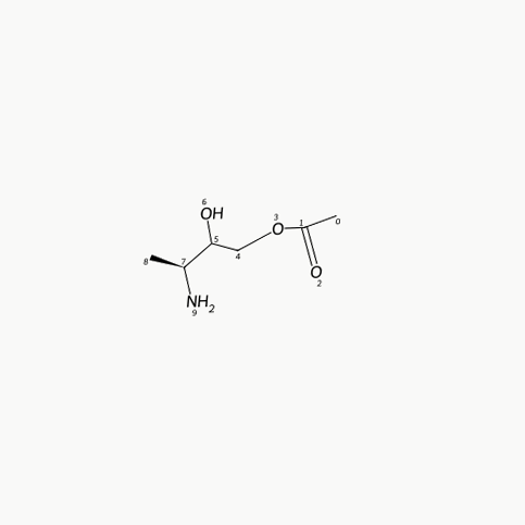 CC(=O)OCC(O)[C@H](C)N